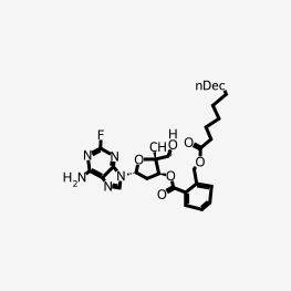 CCCCCCCCCCCCCCCC(=O)OCc1ccccc1C(=O)O[C@H]1C[C@H](n2cnc3c(N)nc(F)nc32)O[C@]1(C)CO